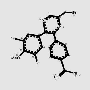 C=C(N)c1ccc(-c2nc(CC(C)C)cnc2-c2cc(F)c(OC)c(F)c2)cc1